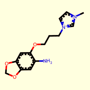 Cn1cc[n+](CCCOc2cc3c(cc2N)OCO3)c1